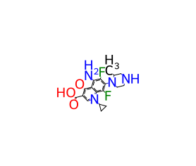 CC1CNCCN1c1c(F)c(N)c2c(=O)c(C(=O)O)cn(C3CC3)c2c1F